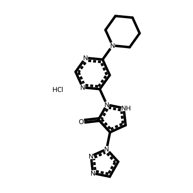 Cl.O=c1c(-n2ccnn2)c[nH]n1-c1cc(N2CCCCC2)ncn1